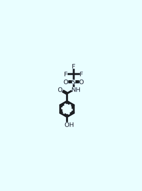 O=C(NS(=O)(=O)C(F)(F)F)c1ccc(O)cc1